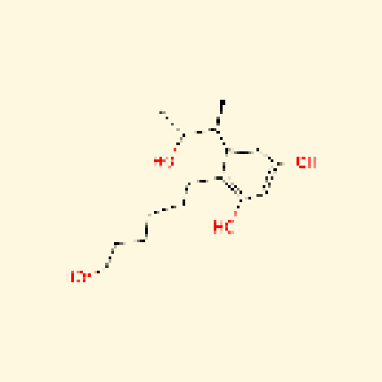 C[C@@H](O)[C@@H](C)c1cc(O)cc(O)c1CCCCCCO